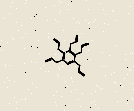 C=CCc1[c]c(CC=C)c(CC=C)c(CC=C)c1CC=C